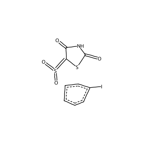 Ic1ccccc1.O=C1NC(=O)C(=S(=O)=O)S1